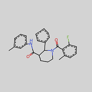 Cc1cccc(NC(=O)C2CCCN(C(=O)c3c(C)cccc3F)C2c2ccccc2)c1